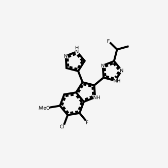 COc1cc2c(-c3cn[nH]c3)c(-c3nc(C(C)F)n[nH]3)[nH]c2c(F)c1Cl